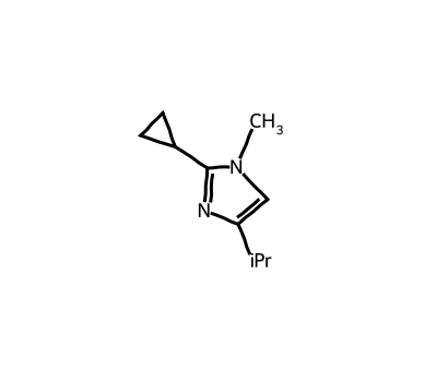 CC(C)c1cn(C)c(C2CC2)n1